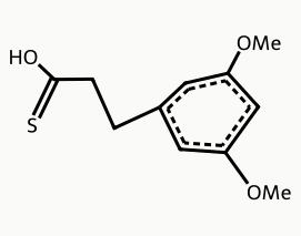 COc1cc(CCC(O)=S)cc(OC)c1